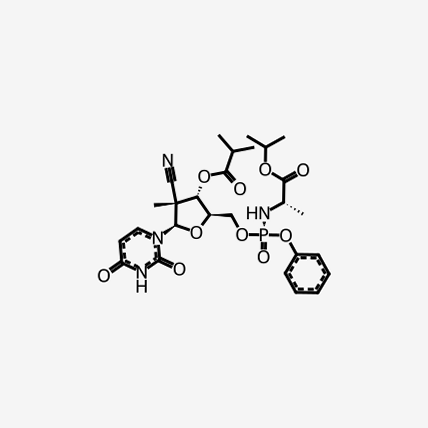 CC(C)OC(=O)[C@H](C)N[P@](=O)(OC[C@H]1O[C@@H](n2ccc(=O)[nH]c2=O)[C@](C)(C#N)[C@@H]1OC(=O)C(C)C)Oc1ccccc1